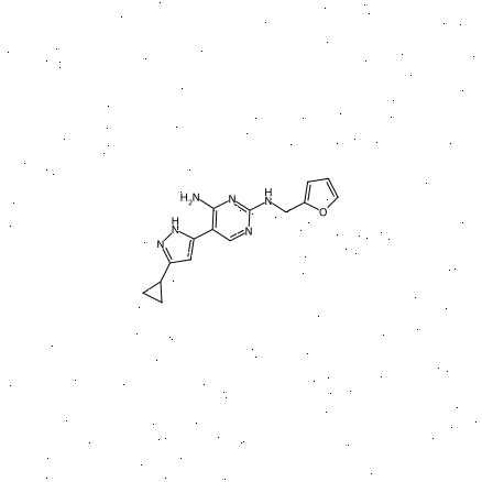 Nc1nc(NCc2ccco2)ncc1-c1cc(C2CC2)n[nH]1